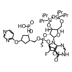 CC(C)[Si]1(C(C)C)OC[C@H]2O[C@@H](n3cc(F)c4c(=O)[nH]cnc43)[C@H](O[P@@](=S)(OCCC#N)OC[C@H]3C[C@@H](Oc4ccncn4)C[C@@H]3O[PH](=O)O)[C@@H]2O[Si](C(C)C)(C(C)C)O1